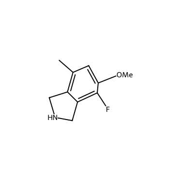 COc1cc(C)c2c(c1F)CNC2